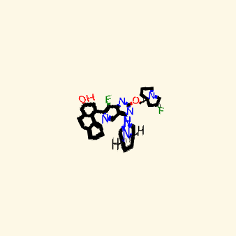 Oc1cc(-c2ncc3c(N4C[C@H]5CC[C@@H](C4)N5)nc(OC[C@@]45CCCN4C[C@H](F)C5)nc3c2F)c2c(ccc3ccccc32)c1